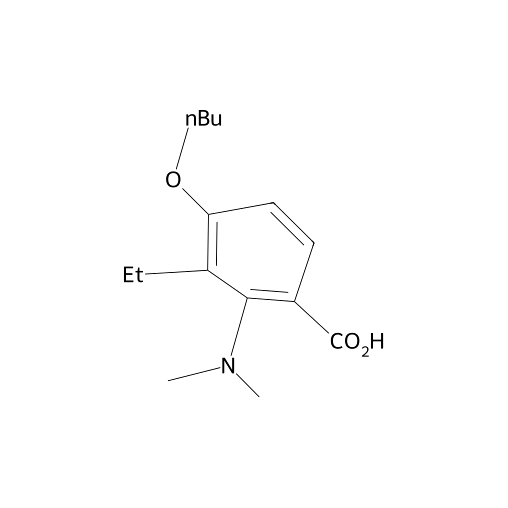 CCCCOc1ccc(C(=O)O)c(N(C)C)c1CC